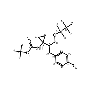 CC(C)(C)OC(=O)NC1(C(CO[Si](C)(C)C(C)(C)C)Cc2ccc(Cl)cc2)CC1